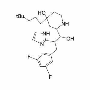 CC(C)(C)CCCC1(O)CCNC(C(O)C(Cc2cc(F)cc(F)c2)c2ncc[nH]2)C1